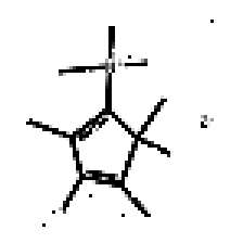 CC1=C(C)C(C)(C)C([N+](C)(C)C)=C1C.[Zr]